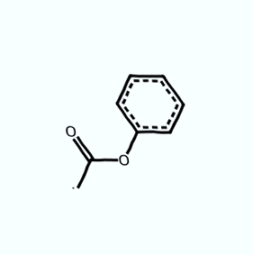 [CH2]C(=O)Oc1ccccc1